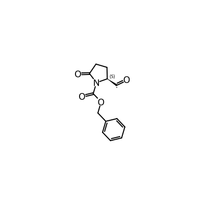 O=[C][C@@H]1CCC(=O)N1C(=O)OCc1ccccc1